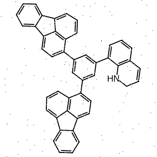 C1=Cc2cccc(-c3cc(-c4ccc5c6c(cccc46)-c4ccccc4-5)cc(-c4ccc5c6c(cccc46)-c4ccccc4-5)c3)c2NC1